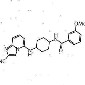 COc1cccc(C(=O)NC2CCC(Nc3cccc4nc(C#N)cn34)CC2)c1